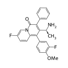 COc1ccc(-c2c([C@H](C)N)c(-c3ccccc3)c(=O)n3cc(F)ccc23)cc1F